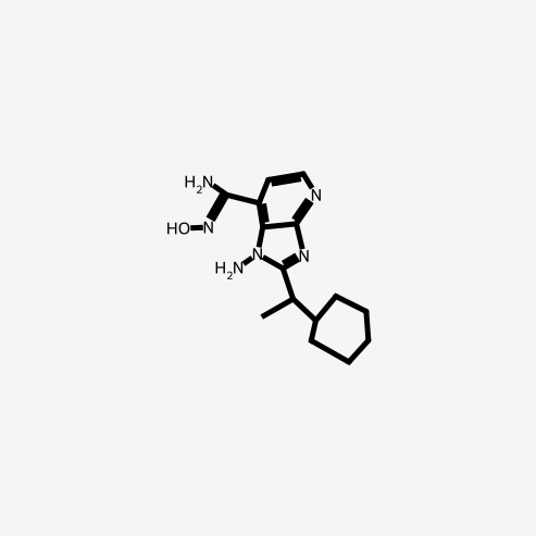 CC(c1nc2nccc(C(N)=NO)c2n1N)C1CCCCC1